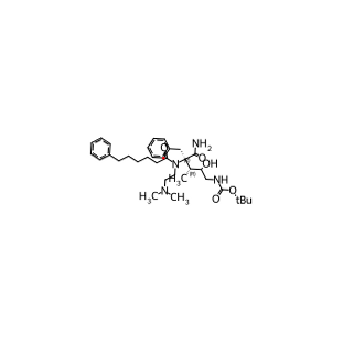 C[C@@H](C(O)CNC(=O)OC(C)(C)C)[C@](Cc1ccccc1)(C(N)=O)N(CCN(C)C)C(=O)CCCCCc1ccccc1